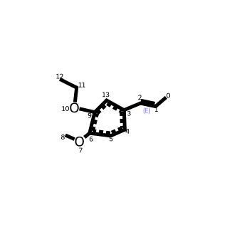 C/C=C/c1ccc(OC)c(OCC)c1